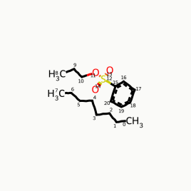 CCCCCCCC.CCCOS(=O)(=O)c1ccccc1